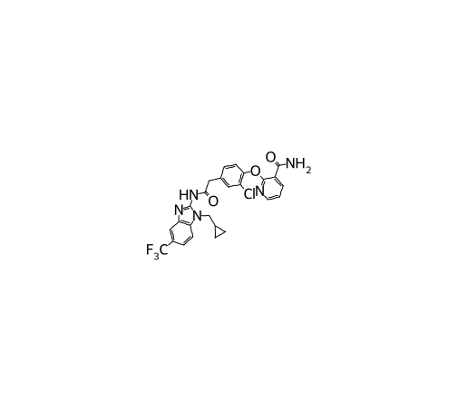 NC(=O)c1cccnc1Oc1ccc(CC(=O)Nc2nc3cc(C(F)(F)F)ccc3n2CC2CC2)cc1Cl